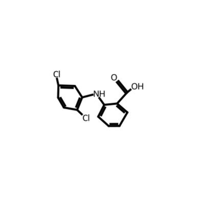 O=C(O)c1ccccc1Nc1cc(Cl)ccc1Cl